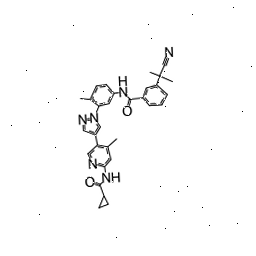 Cc1cc(NC(=O)C2CC2)ncc1-c1cnn(-c2cc(NC(=O)c3cccc(C(C)(C)C#N)c3)ccc2C)c1